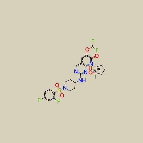 C[C@@]1(O)CCC[C@H]1n1c(=O)c(OC(F)F)cc2cnc(NC3CCN(S(=O)(=O)c4ccc(F)cc4F)CC3)nc21